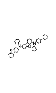 c1ccc(-c2ccc(N(c3ccccc3)c3cccc4c3oc3ccc(N(c5ccccc5)c5ccc6c(c5)sc5ccccc56)cc34)cc2)cc1